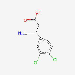 N#CC(CC(=O)O)c1ccc(Cl)c(Cl)c1